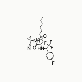 CCCCCCS(=O)(=O)CC(N[C@H](c1ccc(F)cc1)C(F)(F)F)C(=O)NC1(C#N)CC1